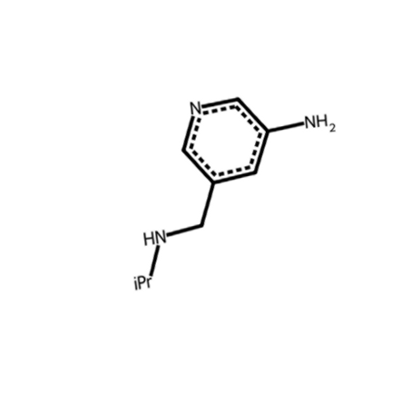 CC(C)NCc1cncc(N)c1